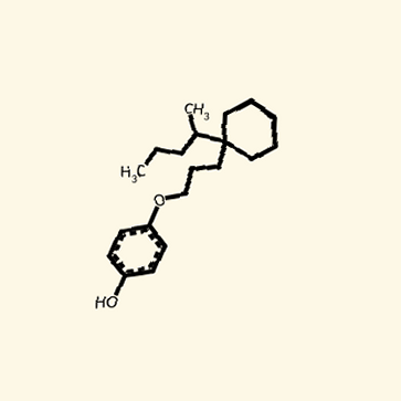 CCCC(C)C1(CCCOc2ccc(O)cc2)CCCCC1